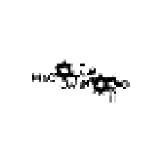 COc1cccc(CNS(=O)(=O)c2ccc3c(c2)CC(=O)N3)c1OC